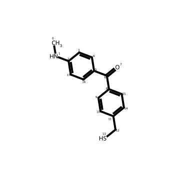 CNc1ccc(C(=O)c2ccc(CS)cc2)cc1